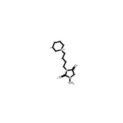 CN1CC(=O)N(CCCCN2CCCCC2)C1=O